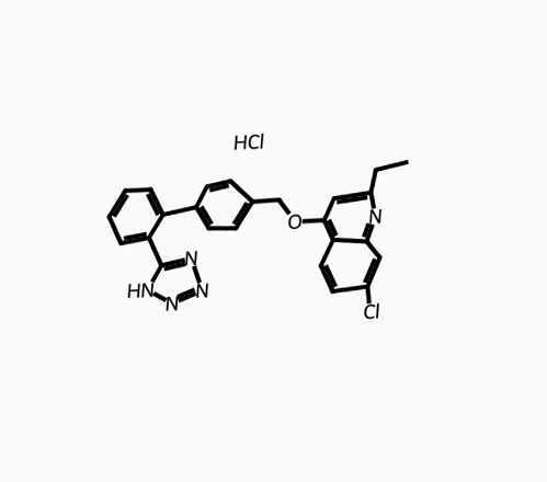 CCc1cc(OCc2ccc(-c3ccccc3-c3nnn[nH]3)cc2)c2ccc(Cl)cc2n1.Cl